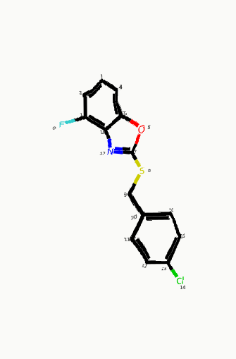 Fc1cccc2oc(SCc3ccc(Cl)cc3)nc12